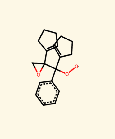 [O]OC(C1=CCCC1)(c1ccccc1)C1(C2=CCCC2)CO1